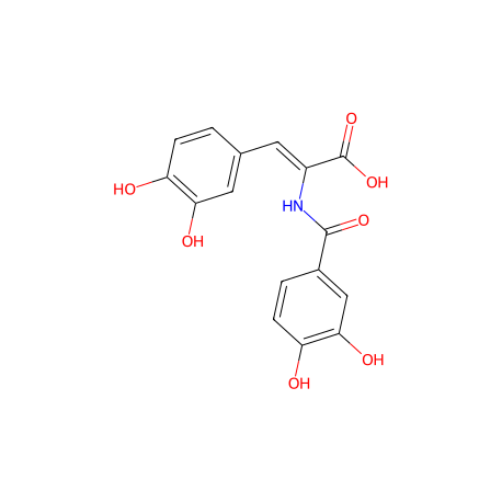 O=C(O)C(=Cc1ccc(O)c(O)c1)NC(=O)c1ccc(O)c(O)c1